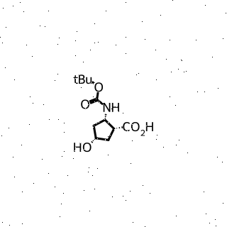 CC(C)(C)OC(=O)N[C@H]1C[C@@H](O)C[C@H]1C(=O)O